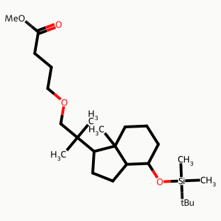 COC(=O)CCCOCC(C)(C)C1CCC2C(O[Si](C)(C)C(C)(C)C)CCCC21C